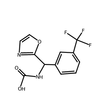 O=C(O)NC(c1cccc(C(F)(F)F)c1)c1ncco1